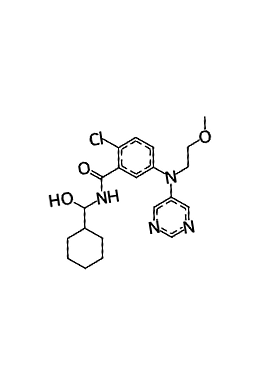 COCCN(c1cncnc1)c1ccc(Cl)c(C(=O)NC(O)C2CCCCC2)c1